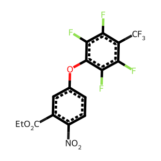 CCOC(=O)c1cc(Oc2c(F)c(F)c(C(F)(F)F)c(F)c2F)ccc1[N+](=O)[O-]